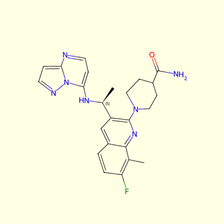 Cc1c(F)ccc2cc([C@H](C)Nc3ccnc4ccnn34)c(N3CCC(C(N)=O)CC3)nc12